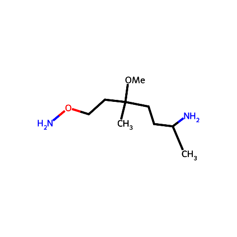 COC(C)(CCON)CCC(C)N